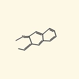 C/C=C1/C=c2ccccc2=C/C1=N/C